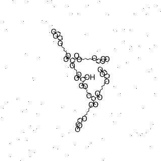 O=C(OCCCCCCOc1ccc2ccc(=O)oc2c1)c1cc(OCCCCOC(=O)c2cc(O)cc(C(=O)OCCCCOc3cc(C(=O)OCCCCCCOc4ccc5ccc(=O)oc5c4)cc(C(=O)OCCCCCCOc4ccc5ccc(=O)oc5c4)c3)c2)cc(C(=O)OCCCCCCOc2ccc3ccc(=O)oc3c2)c1